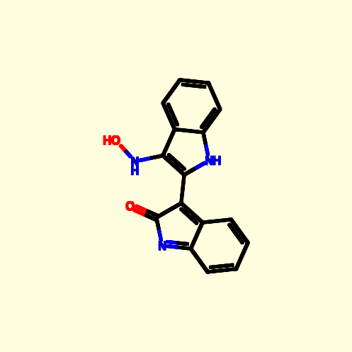 O=C1N=c2ccccc2=C1c1[nH]c2ccccc2c1NO